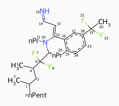 CCCCCC(C)CC(C)C(F)(F)CN(CCC)/C(=C\C=N)c1cc(C(C)(F)F)ccc1CCC